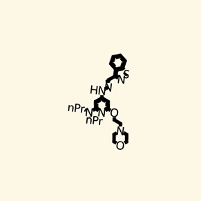 CCCN(CCC)c1cc(N/N=C/c2nsc3ccccc23)cc(OCCN2CCOCC2)n1